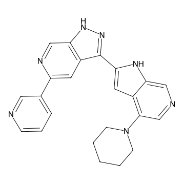 c1cncc(-c2cc3c(-c4cc5c(N6CCCCC6)cncc5[nH]4)n[nH]c3cn2)c1